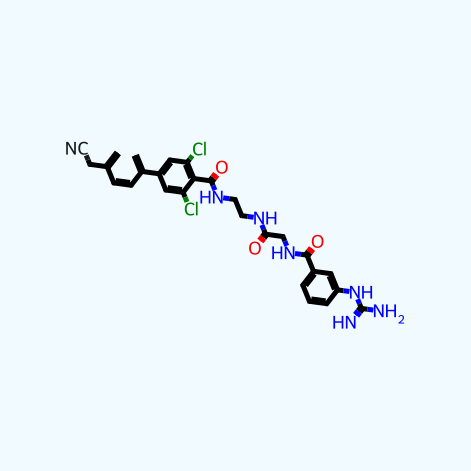 C=C(/C=C\C(=C)c1cc(Cl)c(C(=O)NCCNC(=O)CNC(=O)c2cccc(NC(=N)N)c2)c(Cl)c1)CC#N